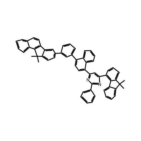 CC1(C)c2ccccc2-c2c(-c3cc(-c4ccc(-c5cccc(-c6ccc7c(c6)-c6ccc8ccccc8c6C7(C)C)c5)c5ccccc45)nc(-c4ccccc4)n3)cccc21